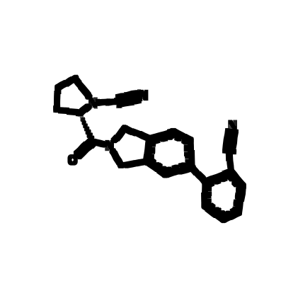 N#Cc1ccccc1-c1ccc2c(c1)CN(C(=O)[C@@H]1CCCN1C#N)C2